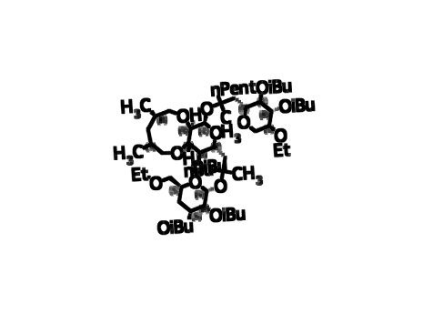 CCCCCC(C)(C[C@H]1OC[C@H](OCC)[C@@H](OCC(C)C)[C@@H]1OCC(C)C)O[C@H]1O[C@H](CC(C)(CCCC)O[C@H]2O[C@H](COCC)C[C@H](OCC(C)C)[C@H]2OCC(C)C)[C@@H](OCC(C)C)[C@@H]2OC[C@@H](C)C[C@@H](C)CO[C@@H]12